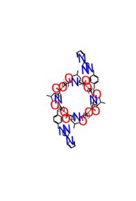 CC(C)C[C@H]1C(=O)O[C@H](Cc2ccc(Cn3cc(-n4cccc4)cn3)cc2)C(=O)N(C)[C@@H](CC(C)C)C(=O)O[C@H](C)C(=O)N(C)[C@@H](CC(C)C)C(=O)O[C@H](Cc2ccc(Cn3cc(-n4cccc4)cn3)cc2)C(=O)N(C)[C@@H](CC(C)C)C(=O)O[C@H](C)C(=O)N1C